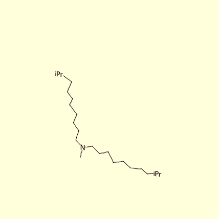 CC(C)CCCCCCCCN(C)CCCCCCCCC(C)C